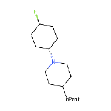 CCCCCC1CCN([C@H]2CC[C@H](F)CC2)CC1